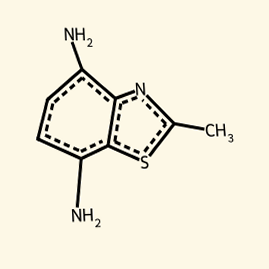 Cc1nc2c(N)ccc(N)c2s1